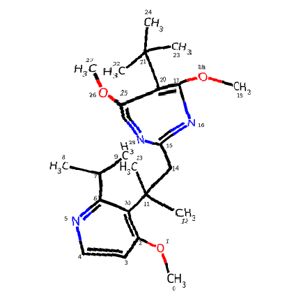 COc1ccnc(C(C)C)c1C(C)(C)Cc1nc(OC)c(C(C)(C)C)c(OC)n1